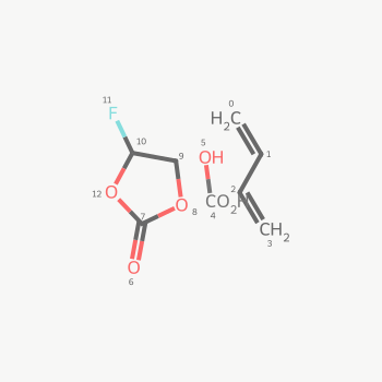 C=CC=C.O=C(O)O.O=C1OCC(F)O1